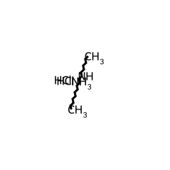 CCCCCCCCCCNCCCCCC.Cl.Cl.N